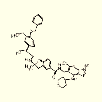 CCc1nc2c(cnn2CC)c(NC2CCOCC2)c1CNC(=O)c1cccc(CC(C)(C)NCC(O)c2ccc(OCc3ccccc3)c(CO)c2)c1